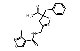 Cc1nocc1C(=O)NCC1=NOC(Cc2ccccc2)(C(N)=O)C1